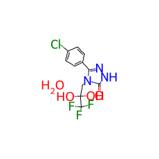 O.O=c1[nH]nc(-c2ccc(Cl)cc2)n1CC(O)(O)C(F)(F)F